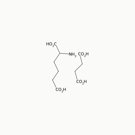 NC(CCCC(=O)O)C(=O)O.O=C(O)CCC(=O)O